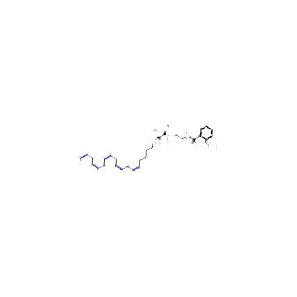 CC/C=C\C/C=C\C/C=C\C/C=C\C/C=C\CCCCOC(CC)(CC)C(=O)OCCNC(=O)c1ccccc1O